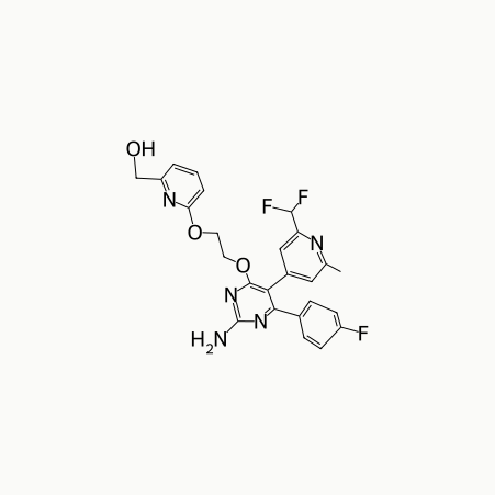 Cc1cc(-c2c(OCCOc3cccc(CO)n3)nc(N)nc2-c2ccc(F)cc2)cc(C(F)F)n1